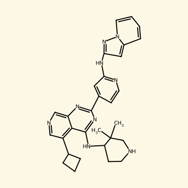 CC1(C)CNCCC1Nc1nc(-c2ccnc(Nc3cc4ccccn4n3)c2)nc2cncc(C3CCC3)c12